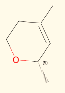 CC1=C[C@H](C)OCC1